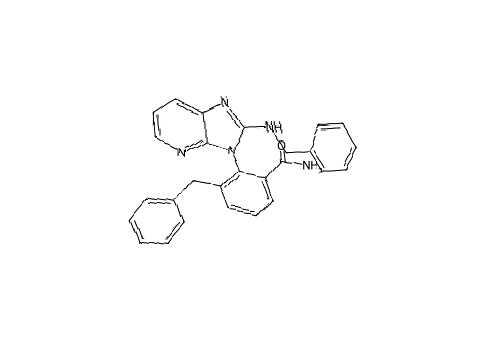 NC(=O)c1cccc(Cc2ccccc2)c1-n1c(NCc2ccccc2)nc2cccnc21